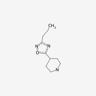 CCCc1noc(C2CC[N]CC2)n1